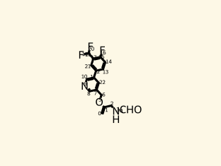 C=C(CNC=O)OCc1cncc(-c2ccc(F)c(C(F)F)c2)c1